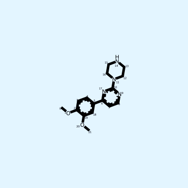 COc1ccc(-c2ccnc(N3CCNCC3)n2)cc1OC